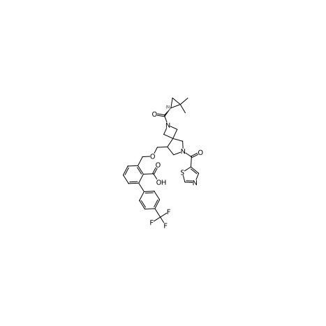 CC1(C)C[C@@H]1C(=O)N1CC2(CN(C(=O)c3cncs3)CC2COCc2cccc(-c3ccc(C(F)(F)F)cc3)c2C(=O)O)C1